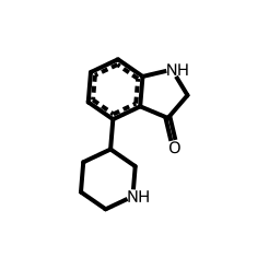 O=C1CNc2cccc(C3CCCNC3)c21